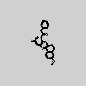 COc1ccc2c(c1)CCc1nc(NC(=O)Cc3ccccc3)c(C=C(C)C)nc1-2